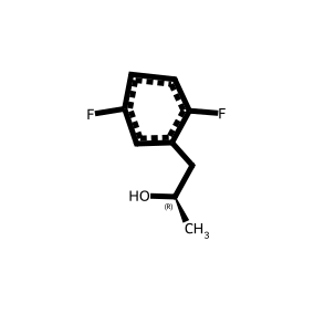 C[C@@H](O)Cc1cc(F)ccc1F